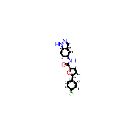 O=C(Nc1ccc2[nH]ncc2c1)c1ccc(-c2ccc(Cl)cc2)o1